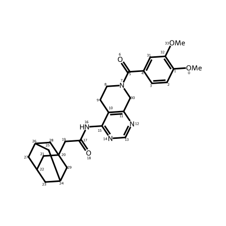 COc1ccc(C(=O)N2CCc3c(ncnc3NC(=O)CC34CC5CC(CC(C5)C3)C4)C2)cc1OC